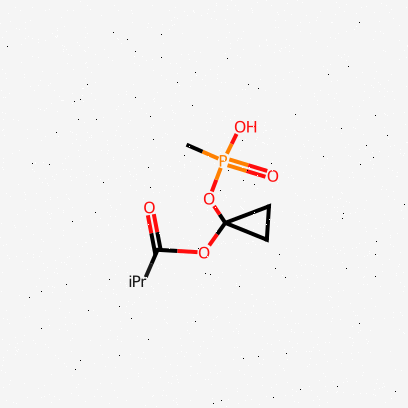 CC(C)C(=O)OC1(OP(C)(=O)O)CC1